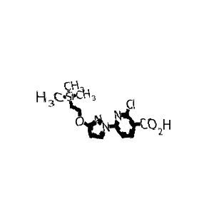 C[Si](C)(C)CCOc1ccn(-c2ccc(C(=O)O)c(Cl)n2)n1